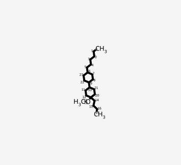 CCCCCCC1CCC(C2CCC(CCCC)(OC)CC2)CC1